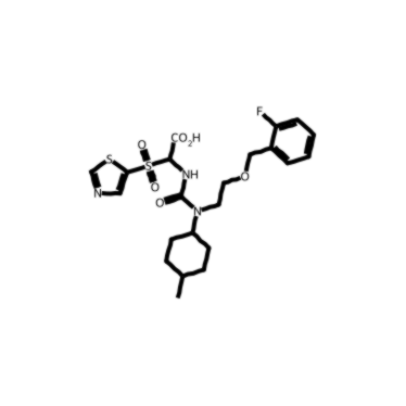 CC1CCC(N(CCOCc2ccccc2F)C(=O)NC(C(=O)O)S(=O)(=O)c2cncs2)CC1